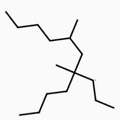 CC[CH]C(C)(CCCC)CC(C)CCCC